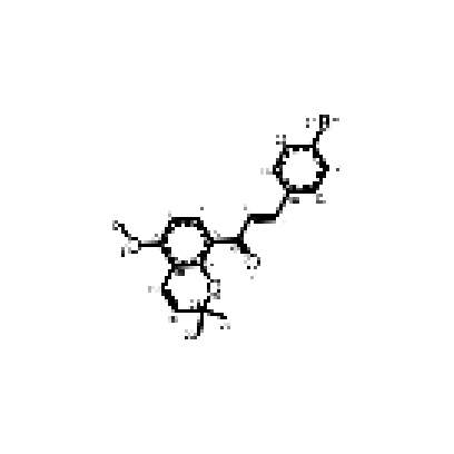 COc1ccc(C(=O)C=Cc2ccc(Br)cc2)c2c1C=CC(C)(C)O2